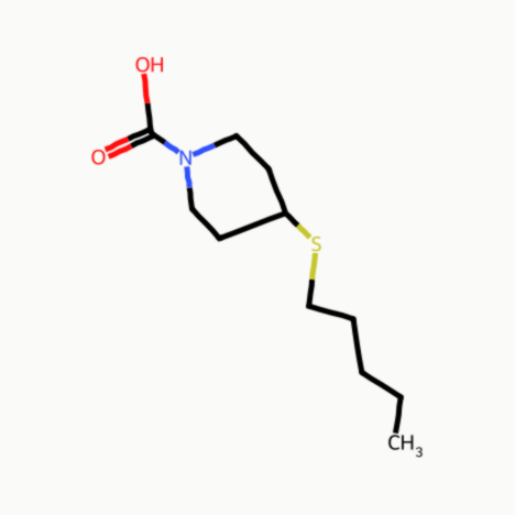 CCCCCSC1CCN(C(=O)O)CC1